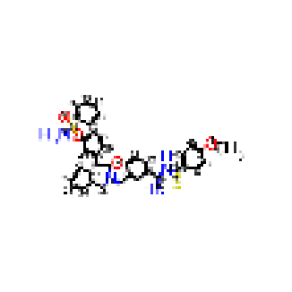 COc1ccc(C(=S)NC(=N)c2cccc(CN(Cc3ccccc3)C(=O)Cc3ccc(-c4ccccc4S(N)(=O)=O)cc3)c2)cc1